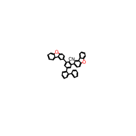 N#Cc1c(-c2ccc3oc4ccccc4c3c2)cc(-c2ccccc2-c2ccccc2)cc1-c1ccc2oc3ccccc3c2c1